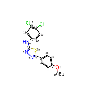 CCCCOc1ccc(-c2nnc(Nc3ccc(Cl)c(Cl)c3)s2)cc1